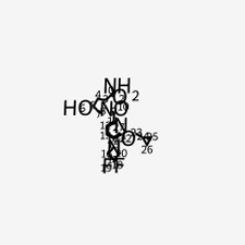 NC(=O)C1CC(O)CN1C(=O)c1ccc(N2CC(F)(F)C2)c(OCC2CC2)n1